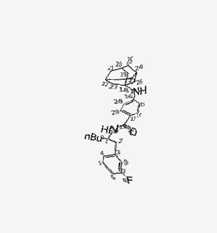 CCCCC(Cc1cccc(F)c1)NC(=O)c1ccc(NC23CC4CC(CC(C4)C2)C3)cc1